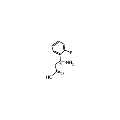 N[C@H](CC(=O)O)c1ccccc1F